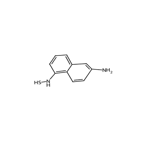 Nc1ccc2c(NS)cccc2c1